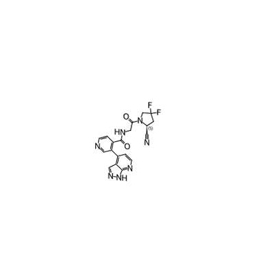 N#C[C@@H]1CC(F)(F)CN1C(=O)CNC(=O)c1ccncc1-c1ccnc2[nH]ncc12